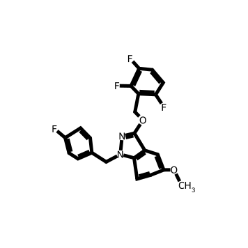 COc1ccc2c(c1)c(OCc1c(F)ccc(F)c1F)nn2Cc1ccc(F)cc1